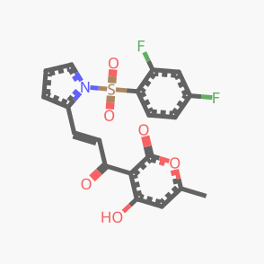 Cc1cc(O)c(C(=O)C=Cc2cccn2S(=O)(=O)c2ccc(F)cc2F)c(=O)o1